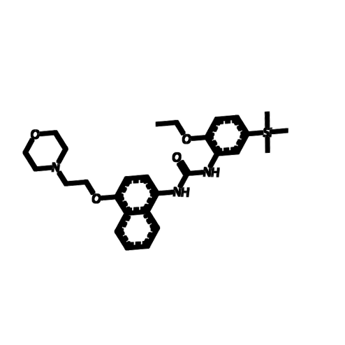 CCOc1ccc([Si](C)(C)C)cc1NC(=O)Nc1ccc(OCCN2CCOCC2)c2ccccc12